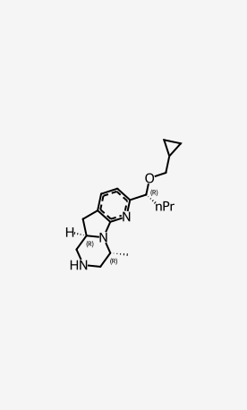 CCC[C@@H](OCC1CC1)c1ccc2c(n1)N1[C@@H](CNC[C@H]1C)C2